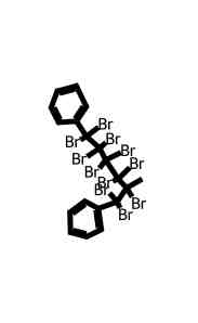 CC(Br)(C(Br)(Br)c1ccccc1)C(Br)(Br)C(Br)(Br)C(Br)(Br)C(Br)(Br)c1ccccc1